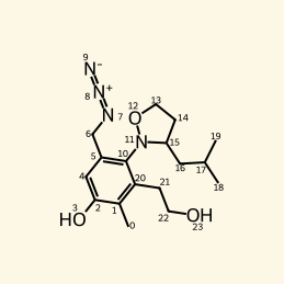 Cc1c(O)cc(CN=[N+]=[N-])c(N2OCCC2CC(C)C)c1CCO